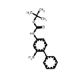 CC(C)(C)OC(=O)Nc1ccc(-c2ccccc2)c(N)c1